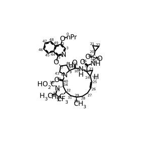 CCCOc1cnc(O[C@@H]2C[C@H]3C(=O)N[C@]4(C(=O)NS(=O)(=O)C5CC5)C[C@H]4C=CCC[C@@H](C)C[C@@H](C)[C@H](N(C(=O)O)[C@H](C)C(F)(F)F)C(=O)N3C2)c2ccccc12